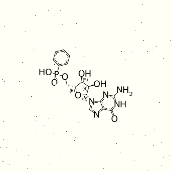 Nc1nc2c(ncn2[C@@H]2O[C@H](COP(=O)(O)c3ccccc3)[C@@H](O)[C@H]2O)c(=O)[nH]1